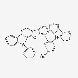 N#Cc1ccc(-n2c3c(c4ccccc42)C=CCC3)c(-c2cccc3c2oc2c3ccc3c4ccccc4n(-c4ccccc4)c32)c1